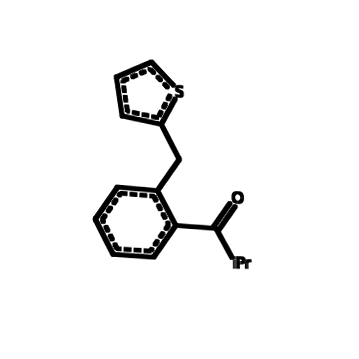 CC(C)C(=O)c1ccccc1Cc1cccs1